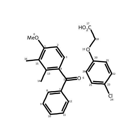 COc1ccc(C(=O)c2ccccc2)c(C)c1C.O=C(O)COc1ccc(Cl)cc1